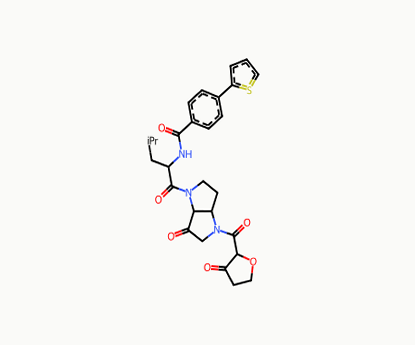 CC(C)CC(NC(=O)c1ccc(-c2cccs2)cc1)C(=O)N1CCC2C1C(=O)CN2C(=O)C1OCCC1=O